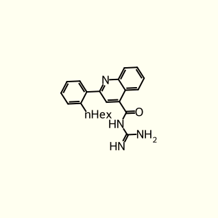 CCCCCCc1ccccc1-c1cc(C(=O)NC(=N)N)c2ccccc2n1